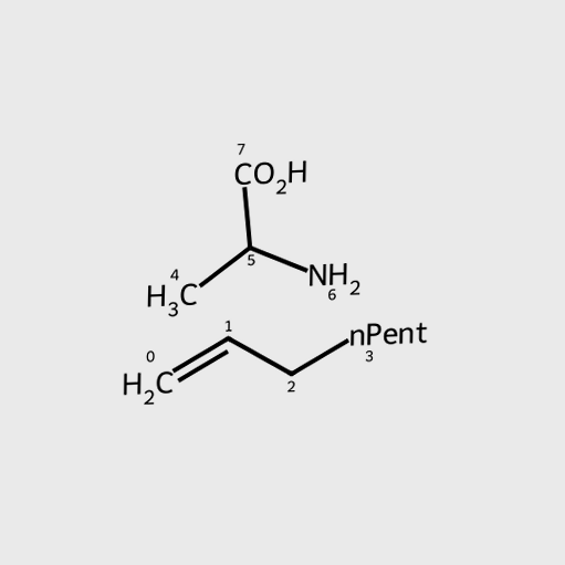 C=CCCCCCC.CC(N)C(=O)O